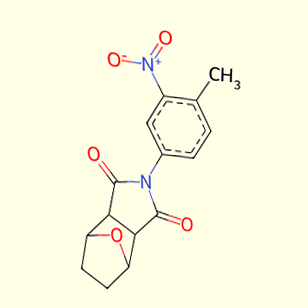 Cc1ccc(N2C(=O)C3C4CCC(O4)C3C2=O)cc1[N+](=O)[O-]